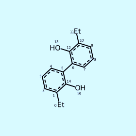 CCc1cccc(-c2cccc(CC)c2O)c1O